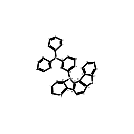 c1ccc(N(c2ccccc2)c2cccc(-n3c4cccnc4c4ccc5sc6ccccc6c5c43)c2)cc1